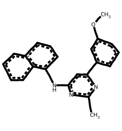 COc1cccc(-c2cc(Nc3cccc4ccccc34)nc(C)n2)c1